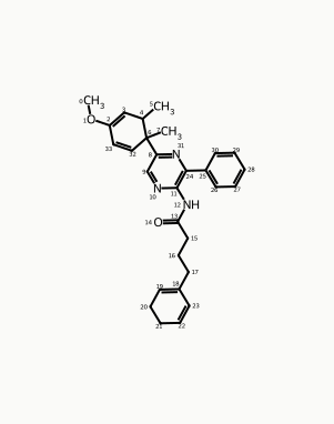 COC1=CC(C)C(C)(c2cnc(NC(=O)CCCC3=CCCC=C3)c(-c3ccccc3)n2)C=C1